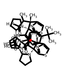 CC(C(N)=O)[C@]1(C)c2csc(n2)[C@]1(C(=O)NC(=O)O)N1CCCC1[C@H]1CC[C@H](C2CCCN2[C@@]2(C(=O)NC(=O)O)c3nc(cs3)[C@@]2(C)C(C)C(N)=O)N1c1ccc(C(C)(C)C)cc1